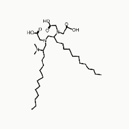 CCCCCCCCCCCCC(CN(CC(=O)O)CC(CCCCCCCCCCCC)N(CC(=O)O)CC(=O)O)N(C)C